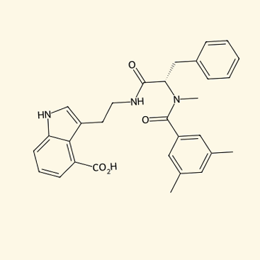 Cc1cc(C)cc(C(=O)N(C)[C@@H](Cc2ccccc2)C(=O)NCCc2c[nH]c3cccc(C(=O)O)c23)c1